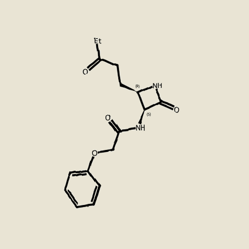 CCC(=O)CC[C@H]1NC(=O)[C@H]1NC(=O)COc1ccccc1